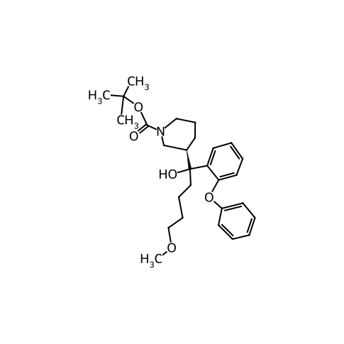 COCCCCC(O)(c1ccccc1Oc1ccccc1)[C@@H]1CCCN(C(=O)OC(C)(C)C)C1